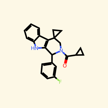 O=C(C1CC1)N1CC2(CC2)c2c([nH]c3ccccc23)C1c1cccc(F)c1